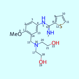 COc1ccc(NC(=N)c2cccs2)cc1CN(CCO)CCO